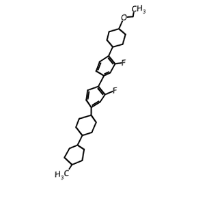 CCOC1CCC(c2ccc(-c3ccc(C4CCC(C5CCC(C)CC5)CC4)cc3F)cc2F)CC1